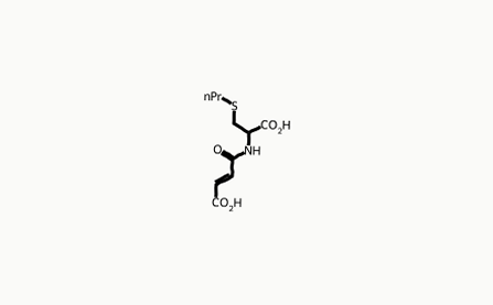 CCCSCC(NC(=O)/C=C/C(=O)O)C(=O)O